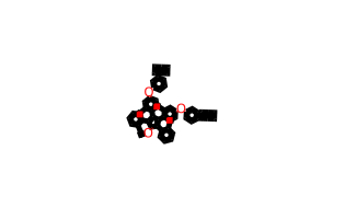 C#Cc1ccccc1C1=C(c2ccc(Oc3ccccc3)cc2C#C)C(c2ccc(Oc3ccccc3)cc2C#C)=C(c2ccccc2C#C)C1=O.c1cc2ccc1-2.c1cc2ccc1-2